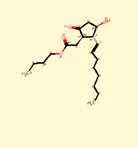 CCCCCC/C=C/[C@H]1[C@H](O)CC(=O)[C@@H]1CC(=O)OCCCC